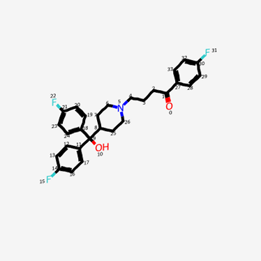 O=C(CCCN1CCC(C(O)(c2ccc(F)cc2)c2ccc(F)cc2)CC1)c1ccc(F)cc1